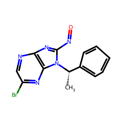 C[C@@H](c1ccccc1)n1c(N=O)nc2ncc(Br)nc21